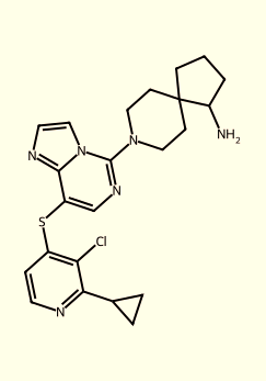 NC1CCCC12CCN(c1ncc(Sc3ccnc(C4CC4)c3Cl)c3nccn13)CC2